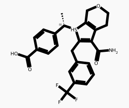 C[C@@H](c1ccc(C(=O)O)cc1)[SH]1C2=C(CCOC2)C(C(N)=O)=C1Cc1cccc(C(F)(F)F)c1